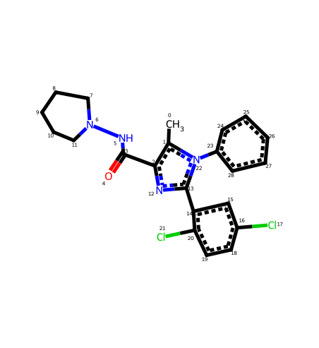 Cc1c(C(=O)NN2CCCCC2)nc(-c2cc(Cl)ccc2Cl)n1-c1ccccc1